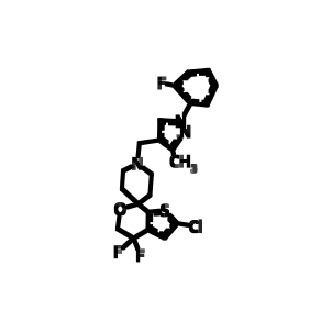 Cc1nn(-c2ccccc2F)cc1CN1CCC2(CC1)OCC(F)(F)c1cc(Cl)sc12